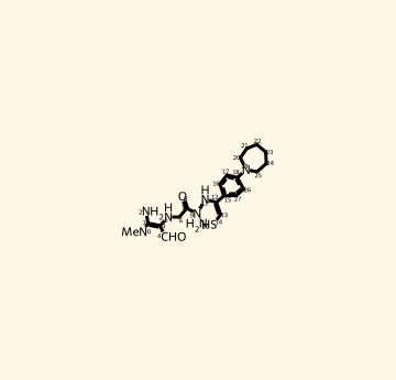 CN/C(N)=C(\C=O)NCC(=O)N(N)N/C(=C\S)c1ccc(N2CCCCCC2)cc1